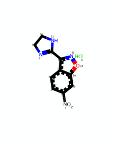 Cl.O=[N+]([O-])c1ccc2c(C3=NCCN3)noc2c1